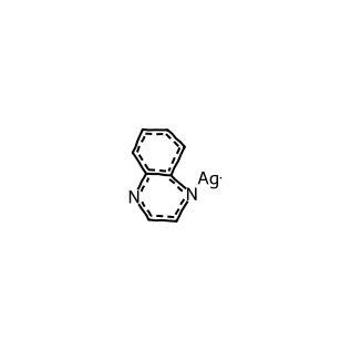 [Ag].c1ccc2nccnc2c1